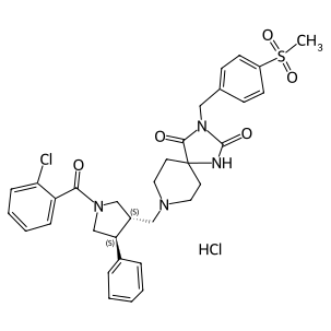 CS(=O)(=O)c1ccc(CN2C(=O)NC3(CCN(C[C@H]4CN(C(=O)c5ccccc5Cl)C[C@@H]4c4ccccc4)CC3)C2=O)cc1.Cl